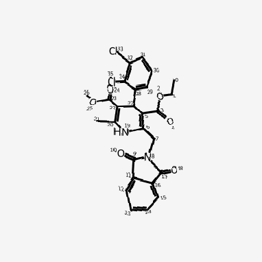 CCOC(=O)C1=C(CN2C(=O)c3ccccc3C2=O)NC(C)=C(C(=O)OC)C1c1cccc(Cl)c1Cl